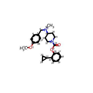 COc1ccc(CN(C)C2CCN(C(=O)Oc3ccccc3C3CC3)CC2)cc1